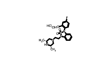 C[C@@H]1CN(CCN2c3ccccc3N(c3ccc(F)cc3Cl)S2(=O)=O)C[C@H](C)N1.Cl.Cl